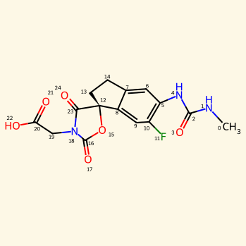 CNC(=O)Nc1cc2c(cc1F)[C@]1(CC2)OC(=O)N(CC(=O)O)C1=O